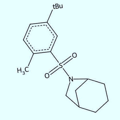 Cc1ccc(C(C)(C)C)cc1S(=O)(=O)N1CC2CCCC1C2